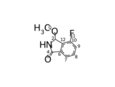 COC1NC(=O)c2cccc(F)c21